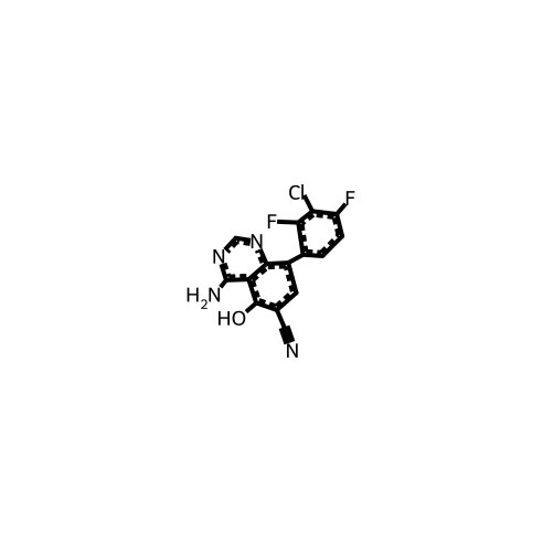 N#Cc1cc(-c2ccc(F)c(Cl)c2F)c2ncnc(N)c2c1O